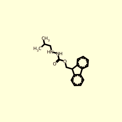 CC(C)CNNC(=O)OCC1c2ccccc2-c2ccccc21